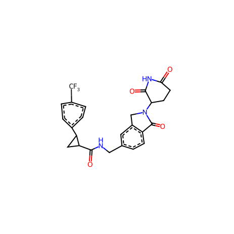 O=C1CCC(N2Cc3cc(CNC(=O)C4CC4c4ccc(C(F)(F)F)cc4)ccc3C2=O)C(=O)N1